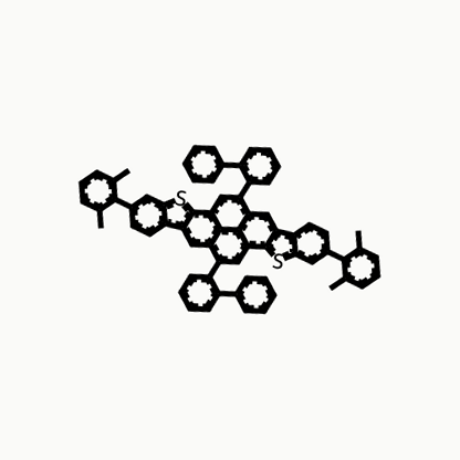 Cc1cccc(C)c1-c1ccc2c(c1)sc1c2cc2c(-c3ccccc3-c3ccccc3)cc3c4sc5cc(-c6c(C)cccc6C)ccc5c4cc4c(-c5ccccc5-c5ccccc5)cc1c2c43